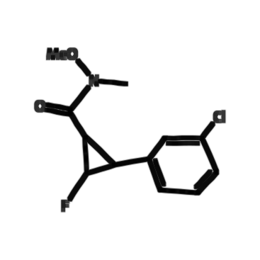 CON(C)C(=O)C1C(F)C1c1cccc(Cl)c1